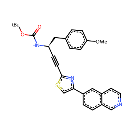 COc1ccc(C[C@@H](C#Cc2nc(-c3ccc4cnccc4c3)cs2)NC(=O)OC(C)(C)C)cc1